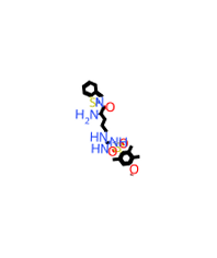 COc1cc(C)c(S(=O)(=O)NC(=N)NCCC[C@@H](N)C(=O)N2C=C3CC=CC=C3S2)c(C)c1C